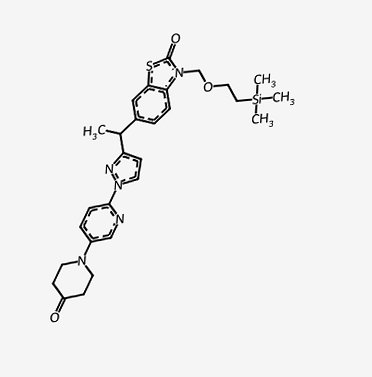 CC(c1ccc2c(c1)sc(=O)n2COCC[Si](C)(C)C)c1ccn(-c2ccc(N3CCC(=O)CC3)cn2)n1